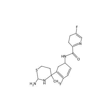 CC1(C2=C(F)C=CC(NC(=O)C3=NC=C(F)CC3)C2)CCSC(N)N1